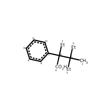 CCC(C)(CC)C(CC)(C(=O)O)c1ccccc1